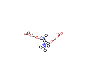 CCC1(COCCCCCOCc2cc3c4cc5c(cc4n(-c4nc(-c6ccccc6)c6ccccc6n4)c3c3ccccc23)c2cc(COCCCCCOCC3(C)COC3)ccc2n5-c2ccccc2)COC1